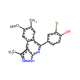 COc1cc2c(cc1C)c(-c1ccc(O)c(Br)c1)nc1[nH]nc(C)c12